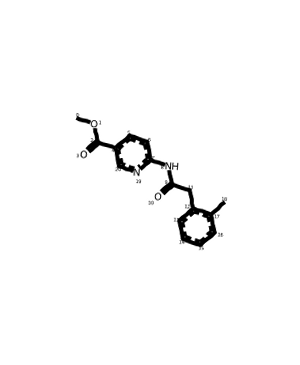 COC(=O)c1ccc(NC(=O)Cc2ccccc2C)nc1